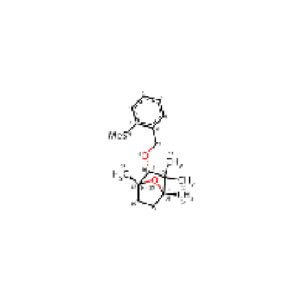 CSc1ccccc1CO[C@@H]1C(C)(C)[C@]2(C)CC[C@@]1(C)O2